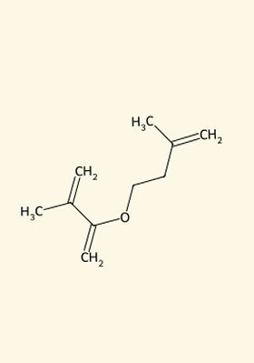 C=C(C)CCOC(=C)C(=C)C